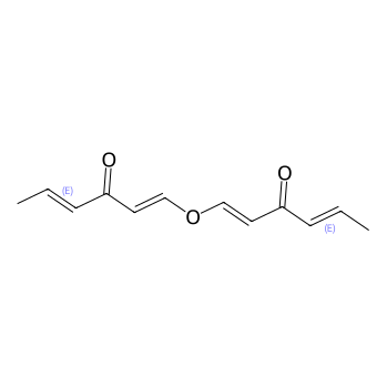 C/C=C/C(=O)C=COC=CC(=O)/C=C/C